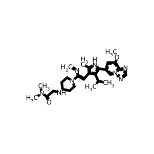 C=N/C(=C\c1c(C)[nH]c(-c2cc(OC)c3ncnn3c2)c1C(C)C)N1CCC(NCC(=O)N(C)C)CC1